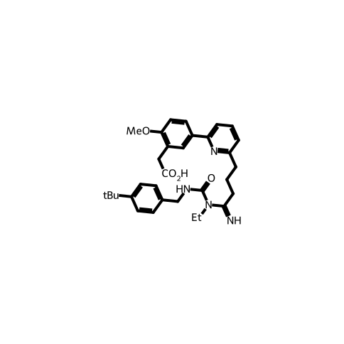 CCN(C(=N)CCCc1cccc(-c2ccc(OC)c(CC(=O)O)c2)n1)C(=O)NCc1ccc(C(C)(C)C)cc1